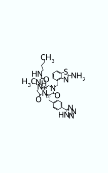 CCCCNC(=O)N(C)N1CC(=O)N2[C@@H](Cc3ccc(-c4nnn[nH]4)cc3)C(=O)N(Cc3cccc4sc(N)nc34)C[C@@H]21